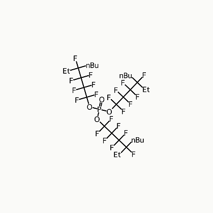 CCCCC(F)(CC)C(F)(F)C(F)(F)C(F)(F)OP(=O)(OC(F)(F)C(F)(F)C(F)(F)C(F)(CC)CCCC)OC(F)(F)C(F)(F)C(F)(F)C(F)(CC)CCCC